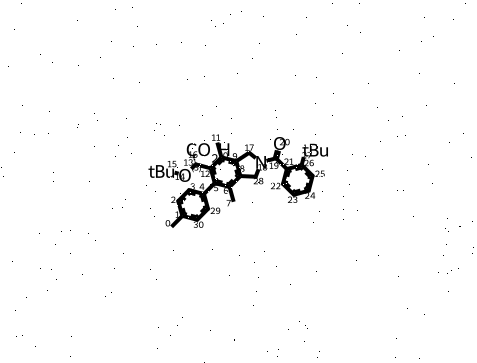 Cc1ccc(-c2c(C)c3c(c(C)c2[C@H](OC(C)(C)C)C(=O)O)CN(C(=O)c2ccccc2C(C)(C)C)C3)cc1